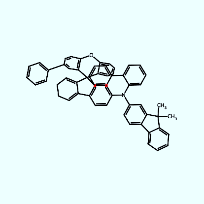 CC1(C)c2ccccc2-c2ccc(N(c3ccc4c(c3)C3(C5=CCCC=C54)c4ccccc4Oc4ccc(-c5ccccc5)cc43)c3ccccc3-c3ccccc3)cc21